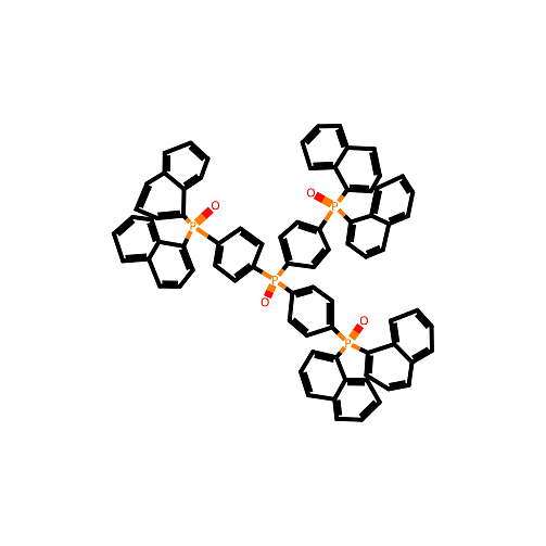 O=P(c1ccc(P(=O)(c2cccc3ccccc23)c2cccc3ccccc23)cc1)(c1ccc(P(=O)(c2cccc3ccccc23)c2cccc3ccccc23)cc1)c1ccc(P(=O)(c2cccc3ccccc23)c2cccc3ccccc23)cc1